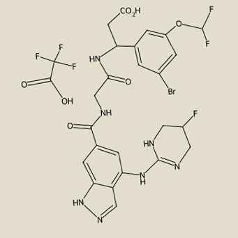 O=C(O)C(F)(F)F.O=C(O)CC(NC(=O)CNC(=O)c1cc(NC2=NCC(F)CN2)c2cn[nH]c2c1)c1cc(Br)cc(OC(F)F)c1